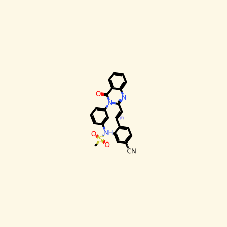 CS(=O)(=O)Nc1cccc(-n2c(/C=C/c3ccc(C#N)cc3)nc3ccccc3c2=O)c1